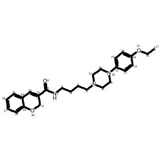 O=C(NCCCCN1CCN(c2ccc(OCI)cc2)CC1)C1=Cc2ccccc2OC1